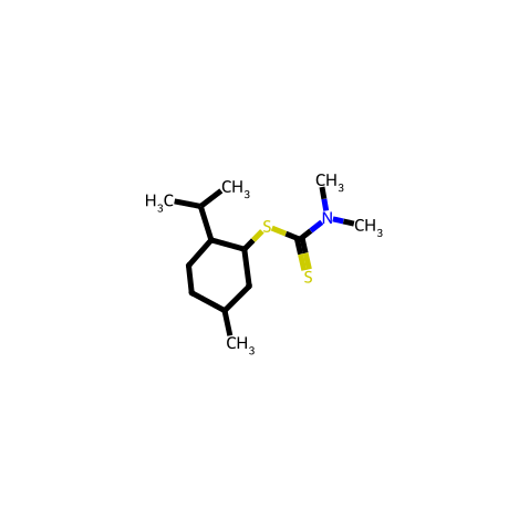 CC1CCC(C(C)C)C(SC(=S)N(C)C)C1